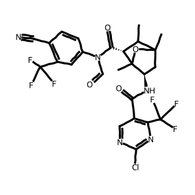 CC1[C@@H](C(=O)N(C=O)c2ccc(C#N)c(C(F)(F)F)c2)C2(C)OC1(C)C[C@H]2NC(=O)c1cnc(Cl)nc1C(F)(F)F